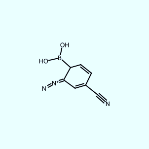 N#CC1=CC(=[N+]=[N-])C(B(O)O)C=C1